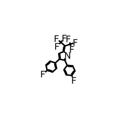 Fc1ccc(C2=CC(=C(C(F)(F)F)C(F)(F)F)N=C2c2ccc(F)cc2)cc1